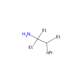 CCCC(CC)C(N)(CC)CC